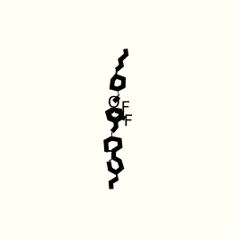 CCCCC[C@H]1CC[C@H](COc2ccc(CC[C@H]3CC[C@H]([C@H]4CC[C@H](CCC)CC4)CC3)c(F)c2F)CC1